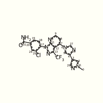 Cn1cc(-c2cn(-c3ccnc4c3c(C(F)(F)F)nn4-c3ccc(C(N)=O)cc3Cl)cn2)cn1